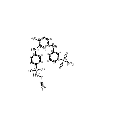 C#CCNS(=O)(=O)c1ccc(Nc2nc(Nc3cccc(S(N)(=O)=O)c3)ncc2F)cc1